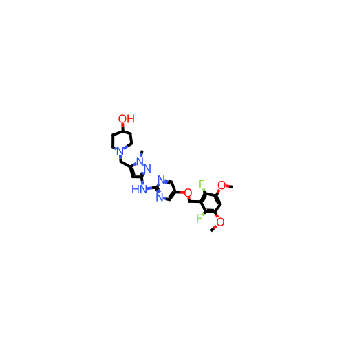 COc1cc(OC)c(F)c(COc2cnc(Nc3cc(CN4CCC(O)CC4)n(C)n3)nc2)c1F